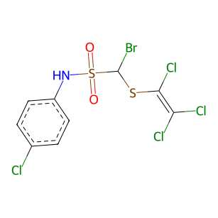 O=S(=O)(Nc1ccc(Cl)cc1)C(Br)SC(Cl)=C(Cl)Cl